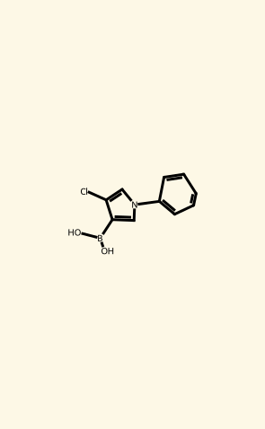 OB(O)c1cn(-c2ccccc2)cc1Cl